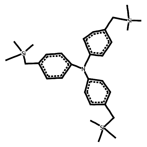 C[Si](C)(C)Cc1ccc(N(c2ccc(C[Si](C)(C)C)cc2)c2ccc(C[Si](C)(C)C)cc2)cc1